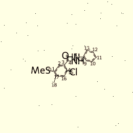 CSc1cc(C(=O)NNc2ccccc2)c(Cl)cc1C